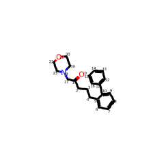 O=C(CCCc1ccccc1-c1ccccc1)CN1CCOCC1